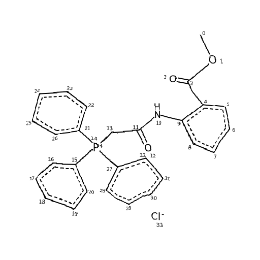 COC(=O)c1ccccc1NC(=O)C[P+](c1ccccc1)(c1ccccc1)c1ccccc1.[Cl-]